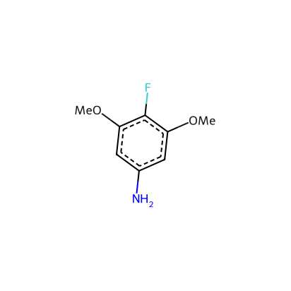 COc1cc(N)cc(OC)c1F